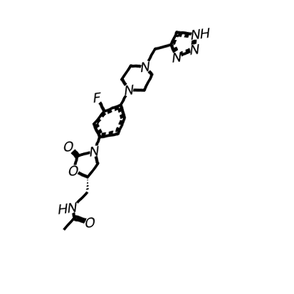 CC(=O)NC[C@H]1CN(c2ccc(N3CCN(Cc4c[nH]nn4)CC3)c(F)c2)C(=O)O1